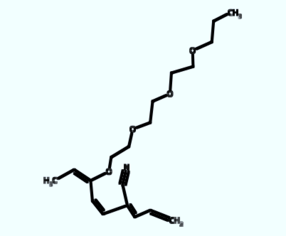 C=C/C=C(C#N)/C=C\C(=C/C)OCCOCCOCCOCCC